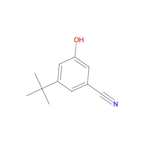 CC(C)(C)c1cc(O)cc(C#N)c1